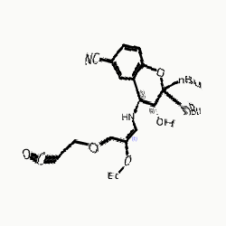 CCCCC1(CCCC)Oc2ccc(C#N)cc2[C@H](N/C=C(\COCC=C=O)OCC)[C@H]1O